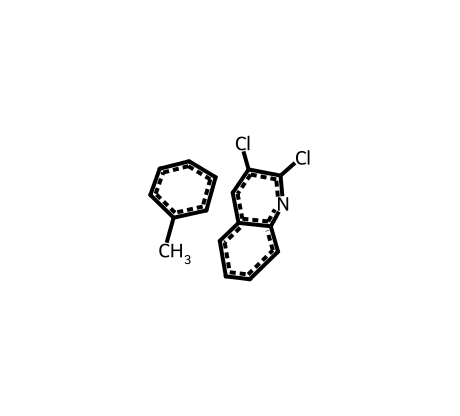 Cc1ccccc1.Clc1cc2ccccc2nc1Cl